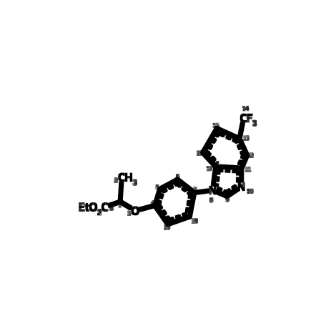 CCOC(=O)C(C)Oc1ccc(-n2cnc3cc(C(F)(F)F)ccc32)cc1